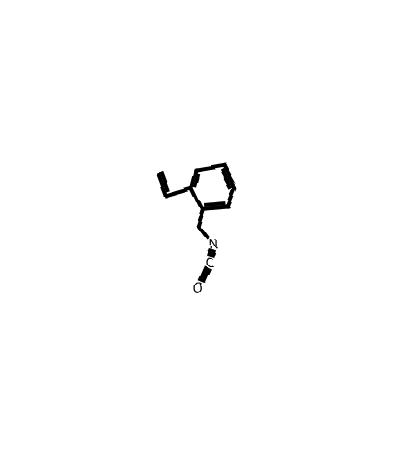 C=Cc1ccccc1CN=C=O